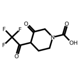 O=C1CN(C(=O)O)CCC1C(=O)C(F)(F)F